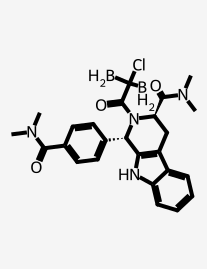 BC(B)(Cl)C(=O)N1[C@@H](c2ccc(C(=O)N(C)C)cc2)c2[nH]c3ccccc3c2C[C@@H]1C(=O)N(C)C